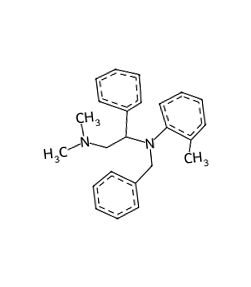 Cc1ccccc1N(Cc1ccccc1)C(CN(C)C)c1ccccc1